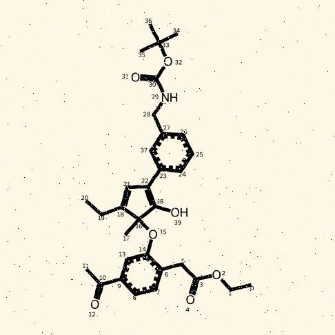 CCOC(=O)Cc1ccc(C(C)=O)cc1OC1(C)C(CC)=CC(c2cccc(CNC(=O)OC(C)(C)C)c2)=C1O